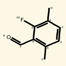 Cc1ccc(C)c(C=O)c1F